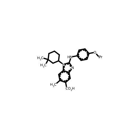 Cc1cc2c(cc1C(=O)O)nc(Nc1ccc(OC(C)C)cc1)n2C1CCCC(C)(C)C1